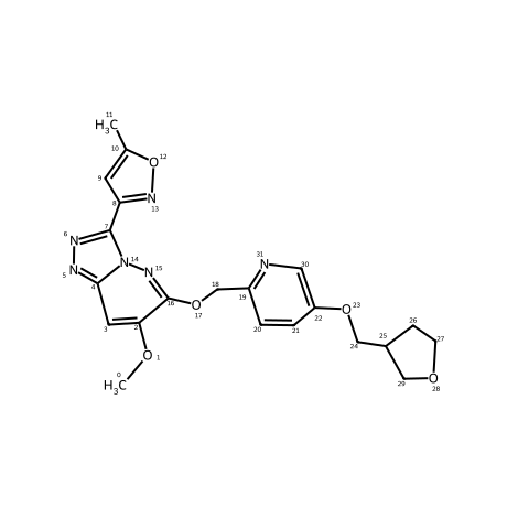 COc1cc2nnc(-c3cc(C)on3)n2nc1OCc1ccc(OCC2CCOC2)cn1